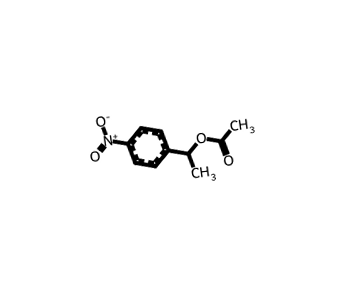 CC(=O)OC(C)c1ccc([N+](=O)[O-])cc1